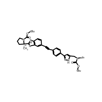 CCCN(Cc1cc(-c2ccc(C#Cc3ccc4[nH]c([C@@]5(C)CCCN5C(=O)OC(C)(C)C)nc4c3)cc2)n[nH]1)C(=O)OC(C)(C)C